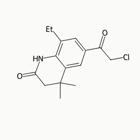 CCc1cc(C(=O)CCl)cc2c1NC(=O)CC2(C)C